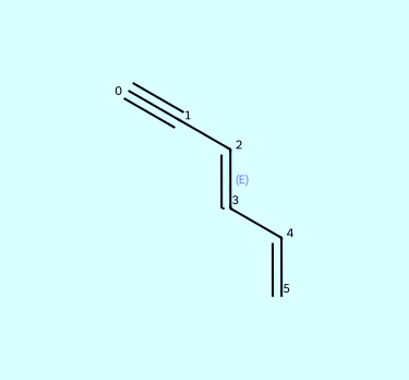 C#C/C=[C]/C=C